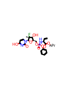 C=C[C@H](NP(=O)(OC[C@H]1O[C@@H](n2ccc(O)nc2=O)[C@](C)(F)[C@@H]1O)Oc1ccccc1)C(=O)OCCC